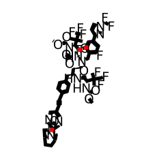 COC(=O)N[C@H](C(=O)N[C@@H](Cc1ccc(C#Cc2cnc(N3CC4CCC(C3)N4C3COC3)nc2)cc1)[C@H](CN(Cc1c(F)cc(-c2ccn(C(F)F)n2)cc1F)NC(=O)[C@@H](NC(=O)OC)C(C)(C)C(F)(F)F)OC=O)C(C)(C)C(F)(F)F